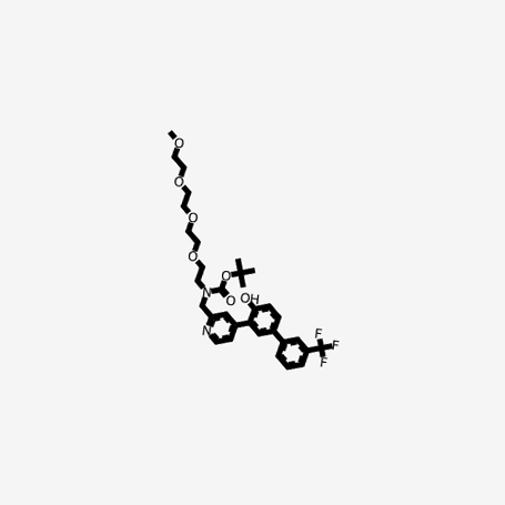 COCCOCCOCCOCCN(Cc1cc(-c2cc(-c3cccc(C(F)(F)F)c3)ccc2O)ccn1)C(=O)OC(C)(C)C